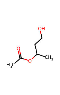 CC(=O)OC(C)CCO